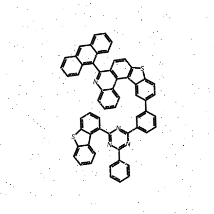 c1ccc(-c2nc(-c3cccc(-c4ccc5sc6ccc7c(-c8c9ccccc9cc9ccccc89)nc8ccccc8c7c6c5c4)c3)nc(-c3cccc4sc5ccccc5c34)n2)cc1